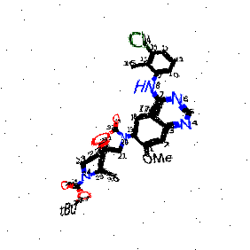 COc1cc2ncnc(Nc3cccc(Cl)c3C)c2cc1N1CC2(CN(C(=O)OC(C)(C)C)C2C)OC1=O